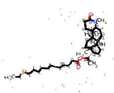 CCSCCCCCCCCCCC(=O)OC(C)[C@H]1CC[C@H]2[C@@H]3CCC4N(C)C(=O)CC[C@]4(C)[C@H]3CC[C@]12C